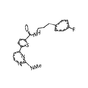 CNc1nccc(-c2ccc(C(=O)NCCCc3ccc(F)cc3)s2)n1